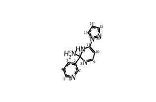 NC1(c2cccnc2)N=CC=C(n2cccn2)N1